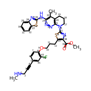 CNCC#Cc1ccc(OCCCc2sc(N3CCCc4c3nnc(Nc3nc5ccccc5s3)c4C)nc2C(=O)OC)c(F)c1